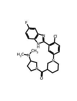 CN(C)C1CCN(C(=O)C2CCCN(c3ccc(Cl)c(-c4nc5cc(F)ccc5[nH]4)c3)C2)C1